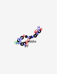 CNC(=O)COc1cc2cc(Nc3nc(N4CCC(OC5CC(N6CCC7(CN(c8ccc9c(c8)C(=O)N([C@@H]8CCC(=O)NC8=O)C9)C7)C6)C5)CC4)ncc3Cl)ccc2n(C(C)C)c1=O